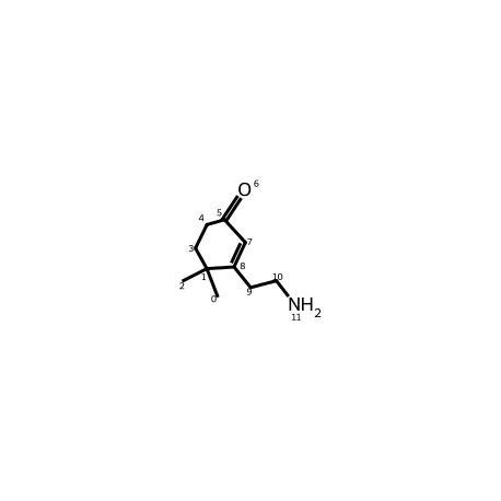 CC1(C)CCC(=O)C=C1CCN